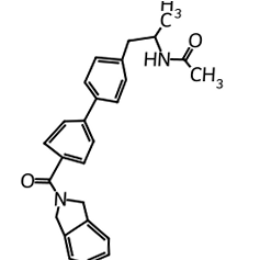 CC(=O)NC(C)Cc1ccc(-c2ccc(C(=O)N3Cc4ccccc4C3)cc2)cc1